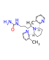 Cc1cccnc1[C@H]1CCC[C@@H](c2ncccc2C)N1CCCCNC(N)=O